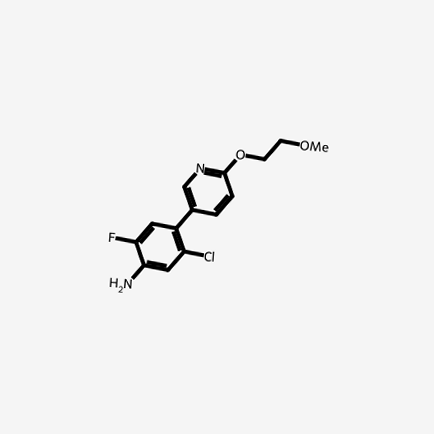 COCCOc1ccc(-c2cc(F)c(N)cc2Cl)cn1